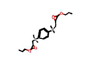 CCCOC1OC1C[Si](C)(C)c1ccc([Si](C)(C)CC2OC2OCCC)cc1